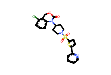 O=C1OCc2c(Cl)cccc2N1C1CCN(S(=O)(=O)c2ccc(-c3ccccn3)s2)CC1